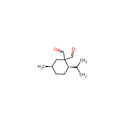 CC(C)[C@H]1CC[C@@H](C)CC1(C=O)C=O